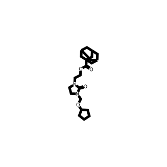 O=C1N(CCOC(=O)C23CC4CC(CC(C4)C2)C3)CCN1COC1CCCC1